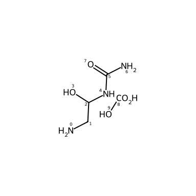 NCC(O)NC(N)=O.O=C(O)O